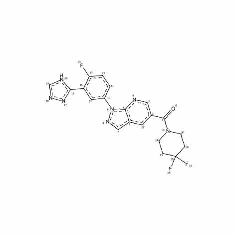 O=C(c1cnc2c(cnn2-c2ccc(F)c(-c3nnc[nH]3)c2)c1)N1CCC(F)(F)CC1